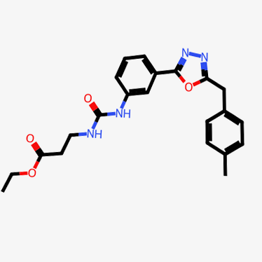 CCOC(=O)CCNC(=O)Nc1cccc(-c2nnc(Cc3ccc(C)cc3)o2)c1